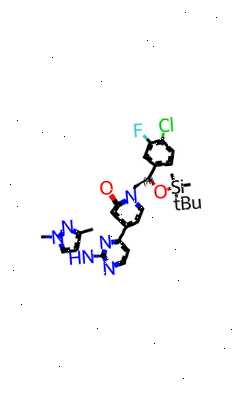 Cc1nn(C)cc1Nc1nccc(-c2ccn(C[C@H](O[Si](C)(C)C(C)(C)C)c3ccc(Cl)c(F)c3)c(=O)c2)n1